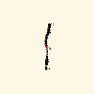 O=C(O)O.OCCOCCOCCOCCOCCOCCOCCOCCOCCOCCOCCOCCOCCOCCO